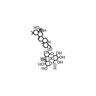 CC1(C)CCC2(C(=O)O)C(C1)C1=CCC3C4(C)CC[C@H](O[C@@H]5OC[C@@H](O)[C@H](O[C@@H]6OC[C@@H](O)[C@@H](O)C6O)C5O[C@@H]5OC(CO)[C@@H](O)[C@H](O)C5O)[C@](C)(C=O)[C@@H]4CC[C@]3(C)[C@]1(C)C[C@@H]2O